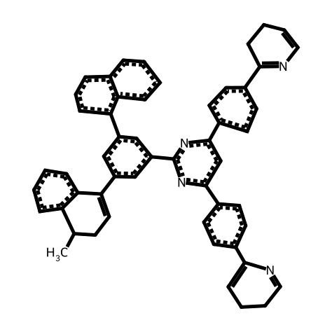 CC1CC=C(c2cc(-c3nc(-c4ccc(C5=CCCC=N5)cc4)cc(-c4ccc(C5=NC=CCC5)cc4)n3)cc(-c3cccc4ccccc34)c2)c2ccccc21